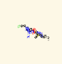 CN(C)CC[C@H](CSc1ccccc1)Nc1ccc(S(=O)(=O)NC(=O)c2ccc3c(c2)NCC2CN(Cc4cccc(-c5ccc(Cl)cc5)c4)CCN32)cc1[N+](=O)[O-]